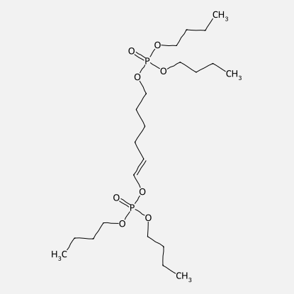 CCCCOP(=O)(OC=CCCCCOP(=O)(OCCCC)OCCCC)OCCCC